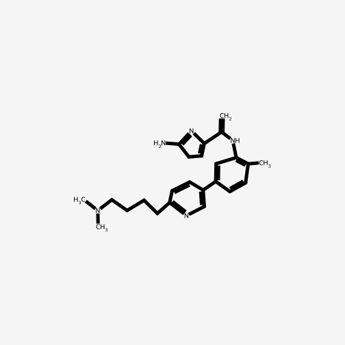 C=C(Nc1cc(-c2ccc(CCCCN(C)C)nc2)ccc1C)C1=CCC(N)=N1